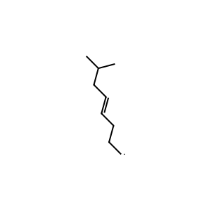 [CH2]CC/C=C/CC(C)C